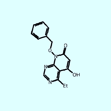 CCc1ncnc2c1c(O)cc(=O)n2OCc1ccccc1